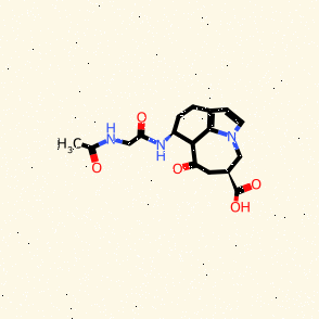 CC(=O)NCC(=O)N[C@H]1CCc2ccn3c2C1C(=O)C[C@H](C(=O)O)C3